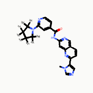 [2H]C1([2H])N(c2cc(C(=O)Nc3cc4nc(-c5cncn5C)ccc4cn3)ccn2)C([2H])([2H])C([2H])([2H])C1([2H])[2H]